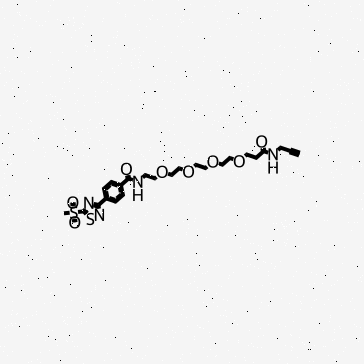 C#CCNC(=O)CCOCCOCCOCCOCCNC(=O)c1ccc(-c2nsc(S(C)(=O)=O)n2)cc1